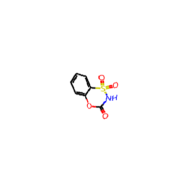 O=C1NS(=O)(=O)c2ccccc2O1